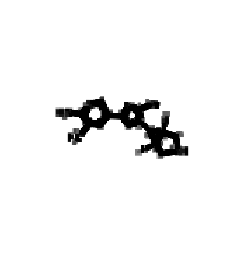 CC(C)c1nc(-c2cnc(N)c(C(F)(F)F)c2)cn1[C@H]1[C@@H]2CNC[C@@H]21